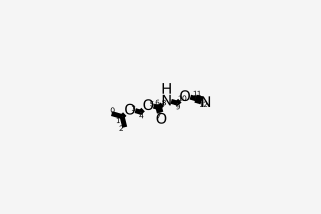 CC(C)OCOC(=O)NCOC#N